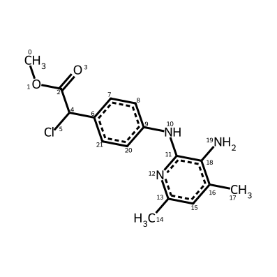 COC(=O)C(Cl)c1ccc(Nc2nc(C)cc(C)c2N)cc1